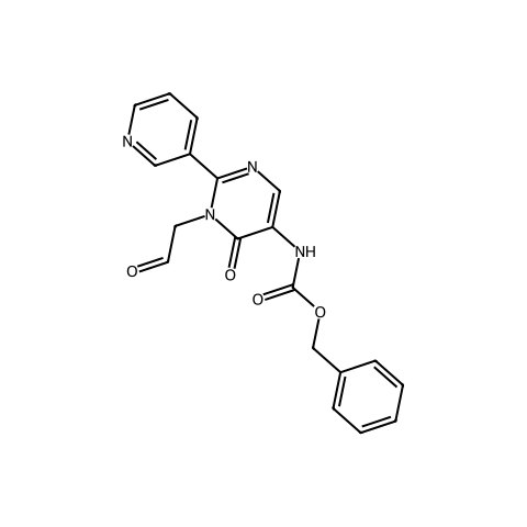 O=CCn1c(-c2cccnc2)ncc(NC(=O)OCc2ccccc2)c1=O